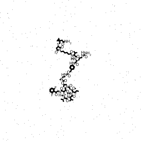 CC[C@H](C)[C@@H]([C@@H](CC(=O)N1C[C@@H](OC(=O)N(C)CCNC(=O)OCc2ccc(NC(=O)[C@H](CCCNC(N)=O)NC(=O)[C@@H](NC(=O)CCCCCN3C(=O)CC(SCC4(CC(N)=O)CC4)C3=O)C(C)C)cc2)C[C@H]1[C@H](OC)[C@@H](C)C(=O)NCC(=O)c1c(F)cccc1F)OC)N(C)C(=O)[C@@H](NC(=O)[C@H](C(C)C)N(C)C)C(C)C